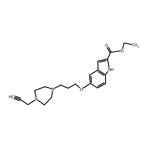 C#CCN1CCN(CCCOc2ccc3[nH]c(C(=O)OCC)cc3c2)CC1